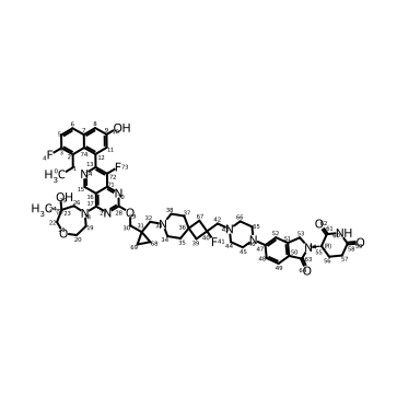 CCc1c(F)ccc2cc(O)cc(-c3ncc4c(N5CCOC[C@@](C)(O)C5)nc(OCC5(CN6CCC7(CC6)CC(F)(CN6CCN(c8ccc9c(c8)CN([C@@H]8CCC(=O)NC8=O)C9=O)CC6)C7)CC5)nc4c3F)c12